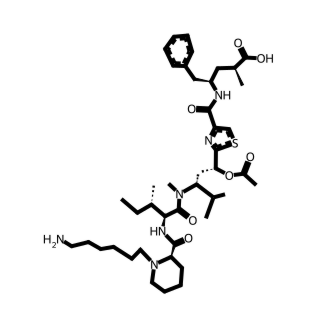 CC[C@H](C)[C@H](NC(=O)[C@H]1CCCCN1CCCCCCN)C(=O)N(C)[C@H](C[C@@H](OC(C)=O)c1nc(C(=O)N[C@@H](Cc2ccccc2)C[C@H](C)C(=O)O)cs1)C(C)C